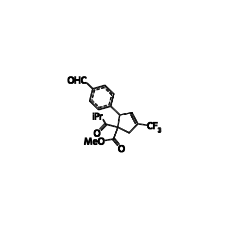 COC(=O)C1(C(=O)C(C)C)CC(C(F)(F)F)=CC1c1ccc(C=O)cc1